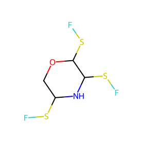 FSC1COC(SF)C(SF)N1